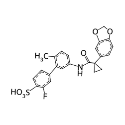 Cc1ccc(NC(=O)C2(c3ccc4c(c3)OCO4)CC2)cc1-c1ccc(S(=O)(=O)O)c(F)c1